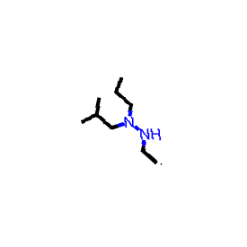 [CH2]CNN(CCC)CC(C)C